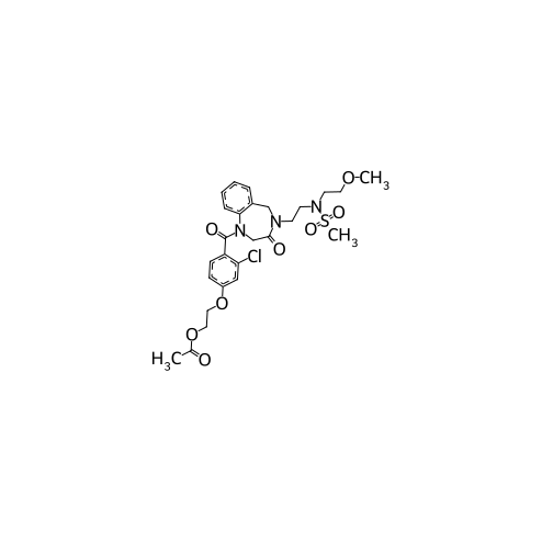 COCCN(CCN1Cc2ccccc2N(C(=O)c2ccc(OCCOC(C)=O)cc2Cl)CC1=O)S(C)(=O)=O